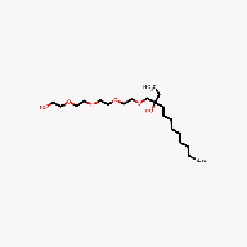 CCCCCCCCCCCCCCCCCCC(O)(COCCOCCOCCOCCO)CC(=O)O